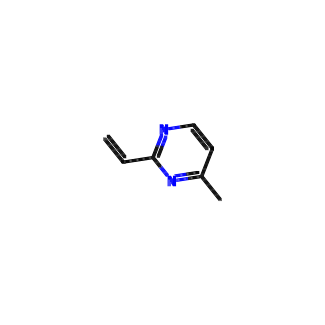 C=Cc1nccc(C)n1